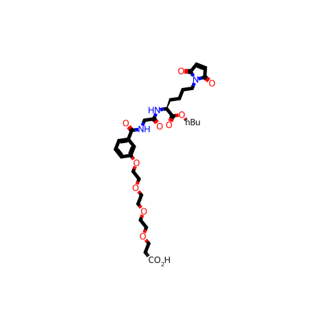 CCCCOC(=O)[C@H](CCCCN1C(=O)C=CC1=O)NC(=O)CNC(=O)c1cccc(OCCOCCOCCOCCC(=O)O)c1